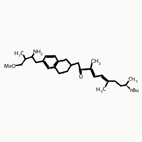 CCCC[C@H](C)CC/C(C)=C/C=C(\C)C(=O)CC1CCc2cc(CC(N)C(C)COC)ccc2C1